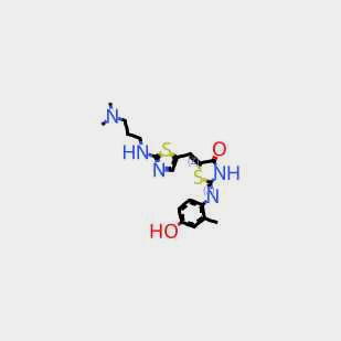 Cc1cc(O)ccc1/N=C1/NC(=O)/C(=C/c2cnc(NCCCN(C)C)s2)S1